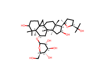 CC(C)(O)[C@@H]1CC[C@](C)([C@H]2[C@@H](O)C[C@@]3(C)[C@@H]4C[C@H](OC5O[C@H](CO)[C@@H](O)[C@H](O)[C@H]5O)[C@H]5C(C)(C)C(O)CCC56C[C@@]46CC[C@]23C)O1